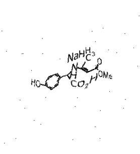 COC(=O)C=C(C)NC(C(=O)O)c1ccc(O)cc1.[NaH]